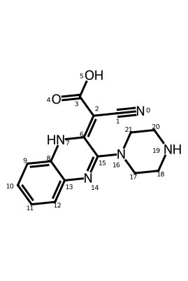 N#C/C(C(=O)O)=C1/Nc2ccccc2N=C1N1CCNCC1